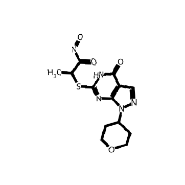 CC(Sc1nc2c(cnn2C2CCOCC2)c(=O)[nH]1)C(=O)N=O